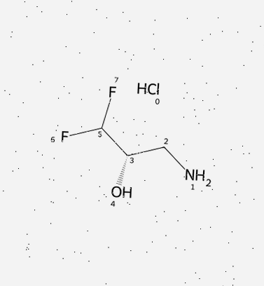 Cl.NC[C@H](O)C(F)F